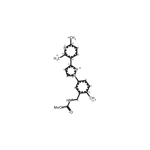 COC(=O)NCc1cc(-n2ccc(-c3ccc(C)nc3C)n2)ccc1C